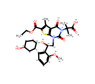 CCOC(=O)c1sc2c(c1C)c(=O)n(C(C)(C)C(=O)O)c(=O)n2C[C@H](O[C@H]1CC[C@H](O)CC1)c1ccccc1OC